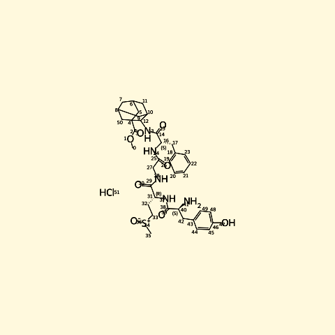 COC(=O)C12CC3CC(CC(C3)C1NC(=O)[C@H](Cc1ccccc1)NC(=O)CNC(=O)[C@@H](CC[S+](C)[O-])NC(=O)[C@@H](N)Cc1ccc(O)cc1)C2.Cl